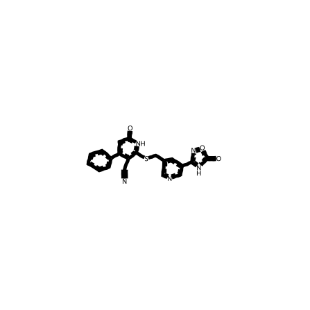 N#Cc1c(-c2ccccc2)cc(=O)[nH]c1SCc1cncc(-c2noc(=O)[nH]2)c1